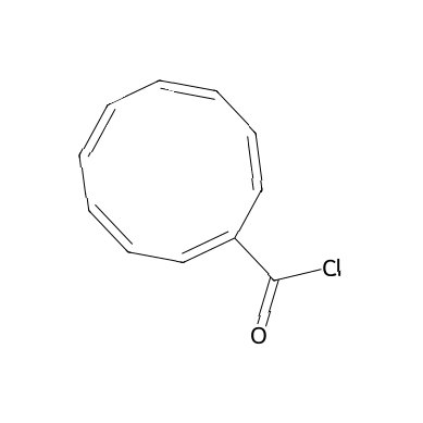 O=C(Cl)c1ccccccccc1